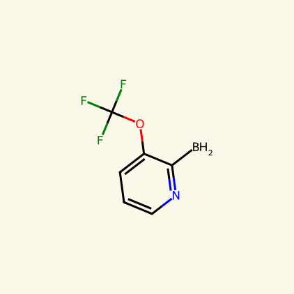 Bc1ncccc1OC(F)(F)F